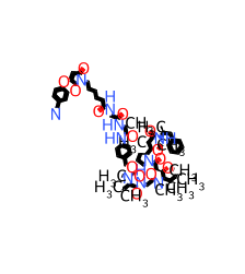 CC[C@@H](C)[C@@H]([C@@H](CC(=O)N1CCC[C@H]1[C@H](OC)[C@@H](C)C(=O)N[C@@H](C)Cc1ccccc1)OC)N(C)C(=O)CNC(=O)C(C(C)C)N(C)C(=O)OCc1ccc(NC(=O)[C@@H](C)NC(=O)CNC(=O)CCCCCN2C(=O)C=C(Oc3ccc(C#N)cc3)C2=O)cc1